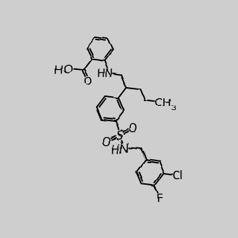 CCCC(CNc1ccccc1C(=O)O)c1cccc(S(=O)(=O)NCc2ccc(F)c(Cl)c2)c1